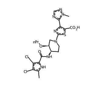 CCCO[C@H]1CN(c2nc(-c3ncnn3C)c(C(=O)O)s2)CC[C@H]1NC(=O)c1[nH]c(C)c(Cl)c1Cl